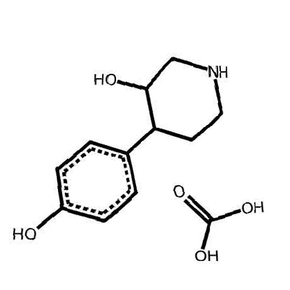 O=C(O)O.Oc1ccc(C2CCNCC2O)cc1